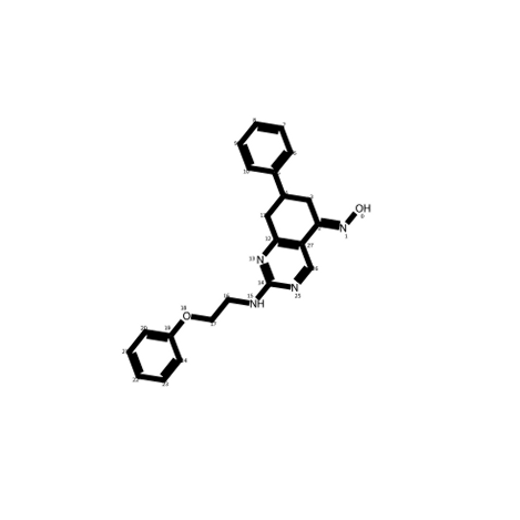 O/N=C1\CC(c2ccccc2)Cc2nc(NCCOc3ccccc3)ncc21